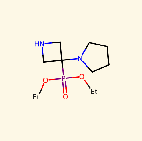 CCOP(=O)(OCC)C1(N2CCCC2)CNC1